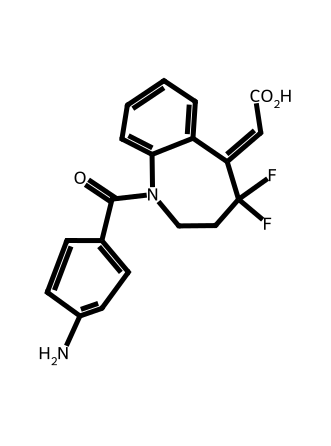 Nc1ccc(C(=O)N2CCC(F)(F)/C(=C/C(=O)O)c3ccccc32)cc1